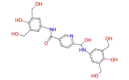 O=C(Nc1cc(CO)c(O)c(CO)c1)c1ccc(C(O)Nc2cc(CO)c(O)c(CO)c2)nc1